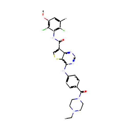 CCN1CCN(C(=O)c2ccc(Nc3ncnc4c(C(=O)Nc5c(Cl)c(C)cc(OC)c5Cl)csc34)cc2)CC1